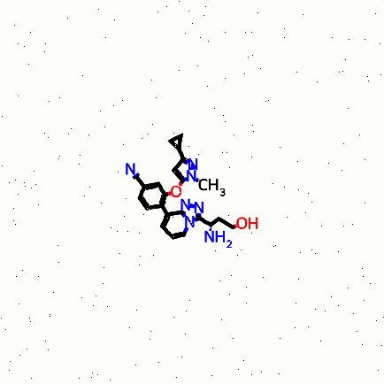 Cn1nc(C2CC2)cc1Oc1cc(C#N)ccc1-c1cccn2c([C@@H](N)CCO)nnc12